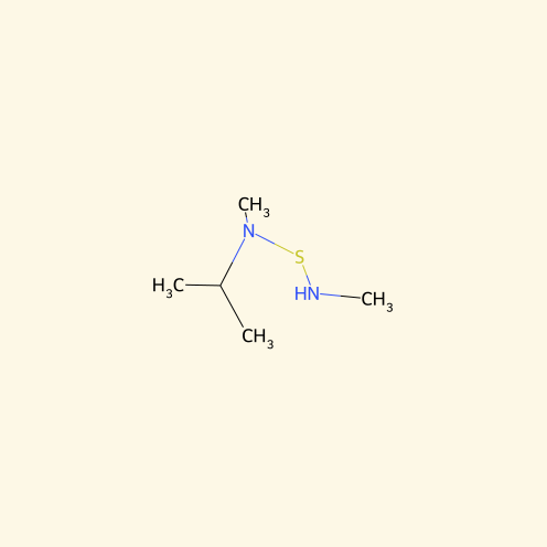 CNSN(C)C(C)C